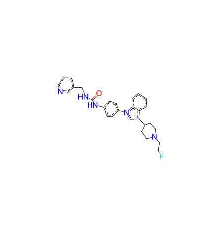 O=C(NCc1cccnc1)Nc1ccc(-n2cc(C3CCN(CCF)CC3)c3ccccc32)cc1